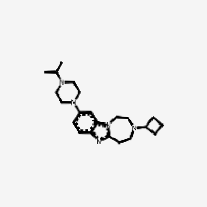 CC(C)N1CCN(c2ccc3nc4n(c3c2)CCN(C2CCC2)CC4)CC1